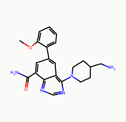 COc1ccccc1-c1cc(C(N)=O)c2ncnc(N3CCC(CN)CC3)c2c1